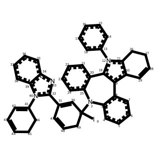 IC1(N2c3ccccc3-c3c4c(n(-c5ccccc5)c3-c3ccccc32)CCC=C4)C=C(c2nc3ccccc3n2C2=CC=CCC2)C=CC1